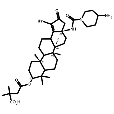 CC(C)C1=C2C3CCC4[C@@]5(C)CC[C@H](OC(=O)CC(C)(C)C(=O)O)C(C)(C)C5CC[C@@]4(C)[C@]3(C)CC[C@@]2(NC(=O)N2CCC(N)CC2)CC1=O